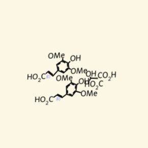 COc1cc(/C=C/C(=O)O)cc(OC)c1O.COc1cc(/C=C/C(=O)O)cc(OC)c1O.O=C(O)CC(O)C(=O)O